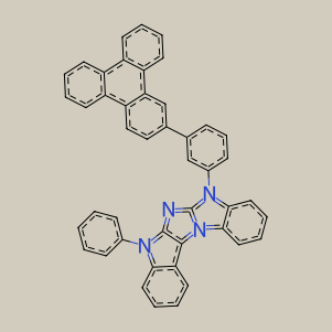 c1ccc(-n2c3ccccc3c3c2nc2n(-c4cccc(-c5ccc6c7ccccc7c7ccccc7c6c5)c4)c4ccccc4n32)cc1